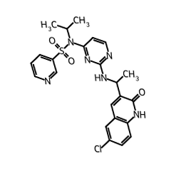 CC(Nc1nccc(N(C(C)C)S(=O)(=O)c2cccnc2)n1)c1cc2cc(Cl)ccc2[nH]c1=O